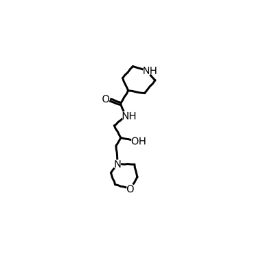 O=C(NCC(O)CN1CCOCC1)C1CCNCC1